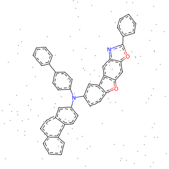 c1ccc(-c2ccc(N(c3ccc4c(ccc5ccccc54)c3)c3ccc4oc5cc6oc(-c7ccccc7)nc6cc5c4c3)cc2)cc1